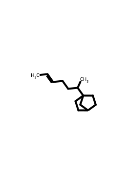 C/C=C/CCC(C)C12CCC(CC1)C2